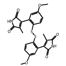 COc1ccc(SSc2ccc(OC)cc2C2=C(C)C(=O)NC2=O)c(C2=C(C)C(=O)NC2=O)c1